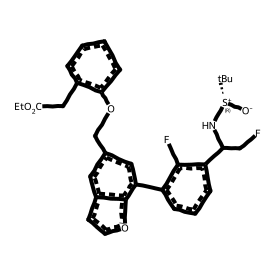 CCOC(=O)Cc1ccccc1OCc1cc(-c2cccc(C(CF)N[S@@+]([O-])C(C)(C)C)c2F)c2occc2c1